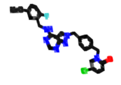 COc1ccc(F)c(CNc2ncnc3nn(Cc4ccc(Cn5cc(Cl)ccc5=O)cc4)cc23)c1